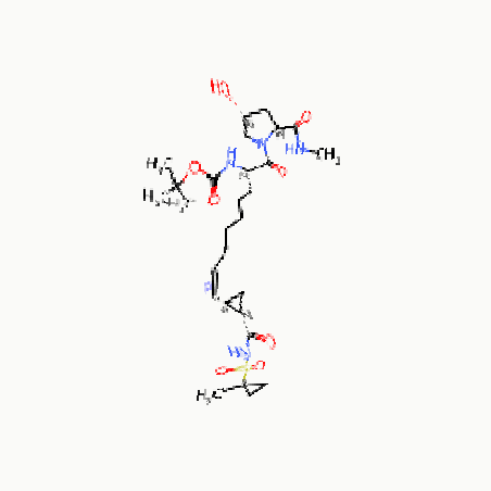 CNC(=O)[C@@H]1C[C@@H](O)CN1C(=O)[C@H](CCCCC/C=C\[C@@H]1C[C@@H]1C(=O)NS(=O)(=O)C1(C)CC1)NC(=O)OC(C)(C)C